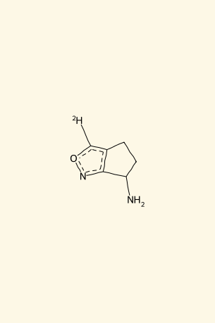 [2H]c1onc2c1CCC2N